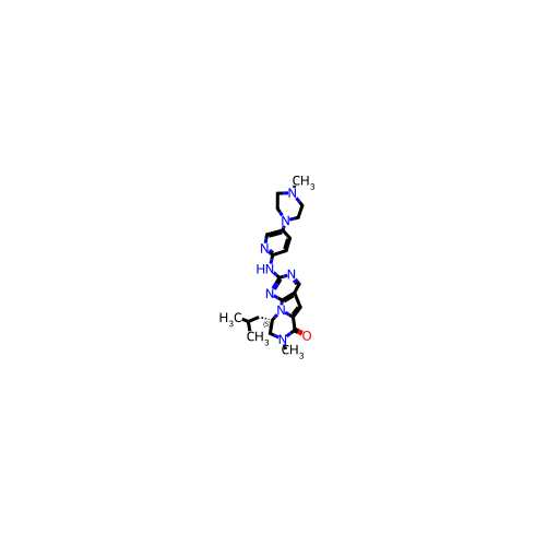 CC(C)C[C@H]1CN(C)C(=O)c2cc3cnc(Nc4ccc(N5CCN(C)CC5)cn4)nc3n21